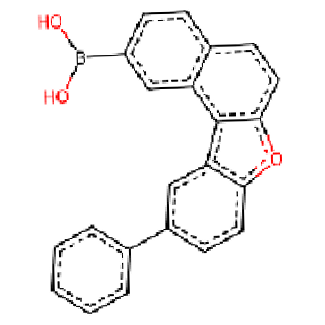 OB(O)c1ccc2ccc3oc4ccc(-c5ccccc5)cc4c3c2c1